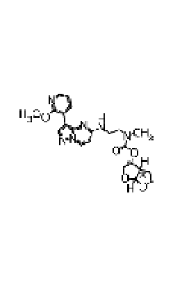 COc1ncccc1-c1cnn2ccc(NCCN(C)C(=O)O[C@H]3CO[C@H]4OCC[C@H]43)nc12